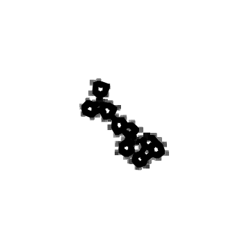 c1ccc(-n2c3ccccc3c3cc(-c4ccc5c(ccc6c5c5ccccc5n6-c5ncc6cccc7c6c5-c5ccccc5-7)c4)ccc32)cc1